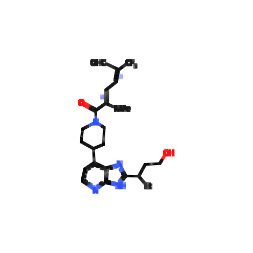 CCC(CCO)c1nc2c(C3CCN(C(=O)/C(=C/C=C(\C=O)C(F)(F)F)NC)CC3)ccnc2[nH]1